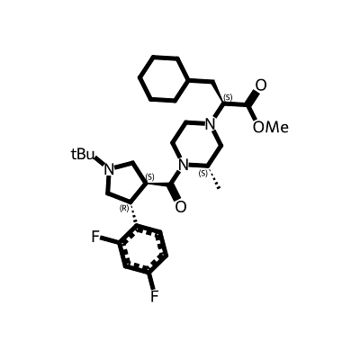 COC(=O)[C@H](CC1CCCCC1)N1CCN(C(=O)[C@@H]2CN(C(C)(C)C)C[C@H]2c2ccc(F)cc2F)[C@@H](C)C1